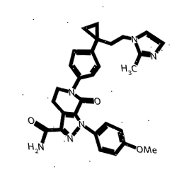 COc1ccc(-n2nc(C(N)=O)c3c2C(=O)N(c2ccc(C4(CCn5ccnc5C)CC4)cc2)CC3)cc1